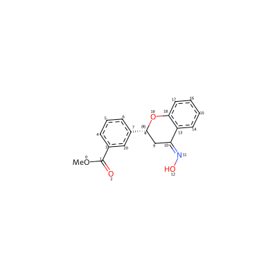 COC(=O)c1cccc([C@H]2CC(=NO)c3ccccc3O2)c1